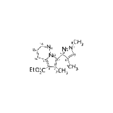 CCOC(=O)c1c(C)c(-c2nn(C)cc2C)n2ncccc12